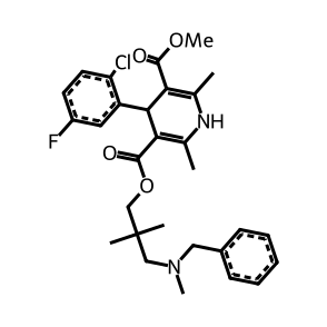 COC(=O)C1=C(C)NC(C)=C(C(=O)OCC(C)(C)CN(C)Cc2ccccc2)C1c1cc(F)ccc1Cl